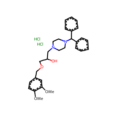 COc1ccc(COCC(O)CN2CCN(C(c3ccccc3)c3ccccc3)CC2)cc1OC.Cl.Cl